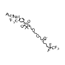 CC(=O)Nc1ccc(N2C(=O)N(CCOCCOCC[S+]([O-])CCCC(F)(F)C(F)(F)F)C(C)(C)C2=O)cc1C(F)(F)F